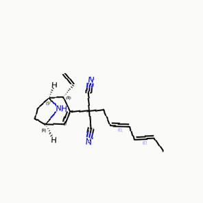 C=C[C@@H]1C(C(C#N)(C#N)C/C=C/C=C/C)=C[C@H]2CC[C@@H]1N2